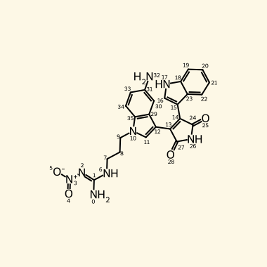 NC(=N[N+](=O)[O-])NCCCn1cc(C2=C(c3c[nH]c4ccccc34)C(=O)NC2=O)c2cc(N)ccc21